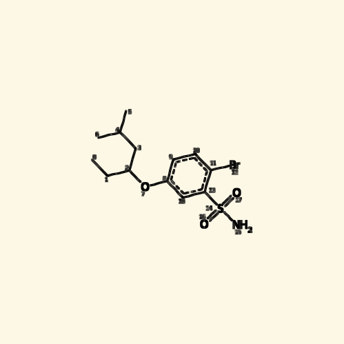 CCC(CC(C)C)Oc1ccc(Br)c(S(N)(=O)=O)c1